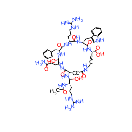 CC(=O)N[C@@H](CCCNC(=N)N)C(O)N[C@H]1CCC(=O)NCCC[C@@H](C(=O)O)NC(=O)[C@H](Cc2c[nH]c3ccccc23)NC(=O)[C@H](CCCNC(=N)N)NC(=O)[C@@H](Cc2ccccc2)NC(O)[C@H](CCC(N)=O)NC1=O